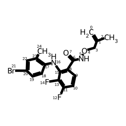 C=C(C)CONC(=O)c1ccc(F)c(F)c1Nc1ccc(Br)cc1C